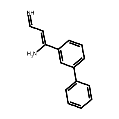 N=C/C=C(\N)c1cccc(-c2ccccc2)c1